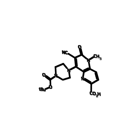 Cn1c(=O)c(C#N)c(N2CCN(C(=O)OC(C)(C)C)CC2)c2nc(C(=O)O)ccc21